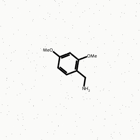 COc1[c]c(OC)c(CN)cc1